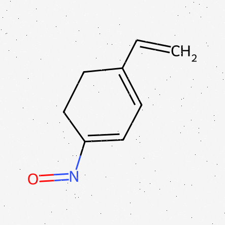 C=CC1=CC=C(N=O)CC1